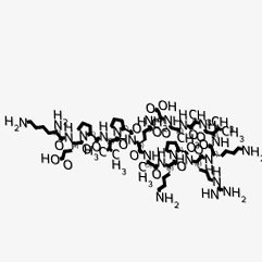 CC(C)[C@H](NC(=O)[C@H](CCCCN)NC(=O)[C@H](CCCNC(=N)N)NC(=O)[C@@H]1CCCN1C(=O)[C@H](CCCCN)NC(=O)[C@H](C)NC(=O)[C@H](CCC(N)=O)NC(=O)[C@@H]1CCCN1C(=O)[C@@H](NC(=O)[C@@H]1CCCN1C(=O)[C@H](CCC(=O)O)NC(=O)[C@@H](N)CCCCN)C(C)C)C(=O)N[C@@H](C)C(=O)N[C@@H](C)C(=O)N[C@@H](C)C(=O)O